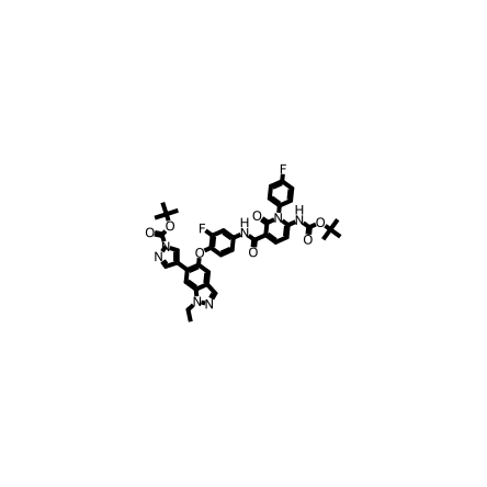 CCn1ncc2cc(Oc3ccc(NC(=O)c4ccc(NC(=O)OC(C)(C)C)n(-c5ccc(F)cc5)c4=O)cc3F)c(-c3cnn(C(=O)OC(C)(C)C)c3)cc21